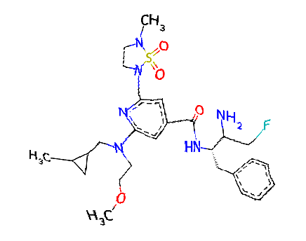 COCCN(CC1CC1C)c1cc(C(=O)N[C@@H](Cc2ccccc2)C(N)CF)cc(N2CCN(C)S2(=O)=O)n1